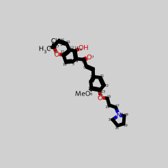 COc1cc(/C=C/C(=O)c2ccc3c(c2O)C=CC(C)(C)O3)ccc1OCCCN1CCCC1